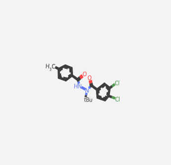 Cc1ccc(C(=O)NN(C(=O)c2ccc(Cl)c(Cl)c2)C(C)(C)C)cc1